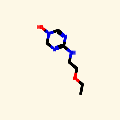 CCOCCNC1=NCN(O)C=N1